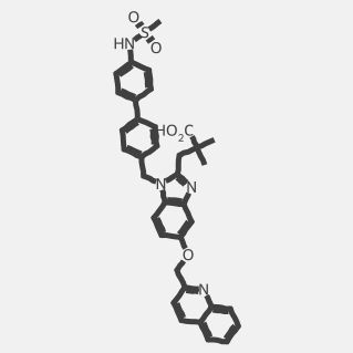 CC(C)(Cc1nc2cc(OCc3ccc4ccccc4n3)ccc2n1Cc1ccc(-c2ccc(NS(C)(=O)=O)cc2)cc1)C(=O)O